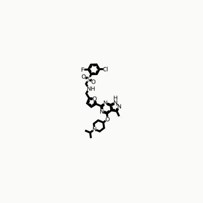 Cc1n[nH]c2nc(-c3ccc(CNCS(=O)(=O)c4cc(Cl)ccc4F)o3)nc(OC3CCN(C(C)C)CC3)c12